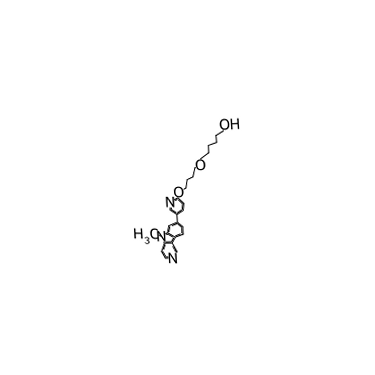 Cn1c2ccncc2c2ccc(-c3ccc(OCCCCOCCCCCCO)nc3)cc21